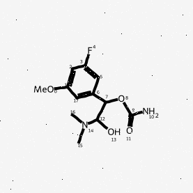 COc1cc(F)cc(C(OC(N)=O)C(O)N(C)C)c1